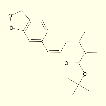 CC(C/C=C\c1ccc2c(c1)OOC2)N(C)C(=O)OC(C)(C)C